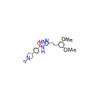 COc1cc(CCc2cc(NC(=O)c3ccc(C4CCN(C5CC5)CC4)cc3)[nH]n2)cc(OC)c1